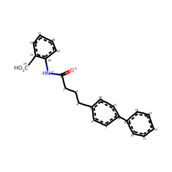 O=C(CCCc1ccc(-c2ccccc2)cc1)Nc1ccccc1C(=O)O